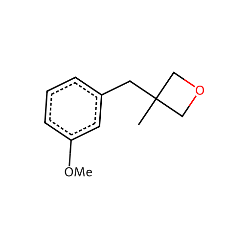 COc1cccc(CC2(C)COC2)c1